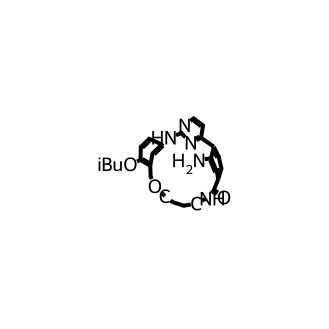 CC(C)COc1ccc2cc1COCCCCNC(=O)c1ccc(c(N)c1)-c1ccnc(n1)N2